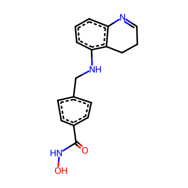 O=C(NO)c1ccc(CNc2cccc3c2CCC=N3)cc1